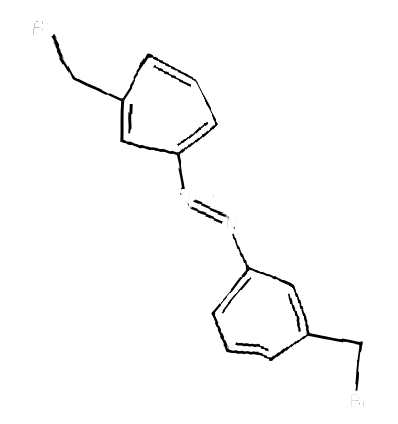 BrCc1cccc(/N=N/c2cccc(CBr)c2)c1